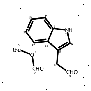 CC(C)(C)OC=O.O=CCc1c[nH]c2ccccc12